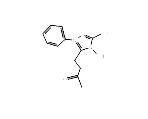 Cn1c(S)n[n+](-c2ccccc2)c1CCC(=O)O